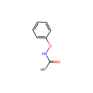 CCCC(=O)NOc1ccccc1